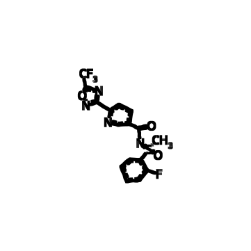 CS(=O)(=NC(=O)c1ccc(-c2noc(C(F)(F)F)n2)nc1)c1ccccc1F